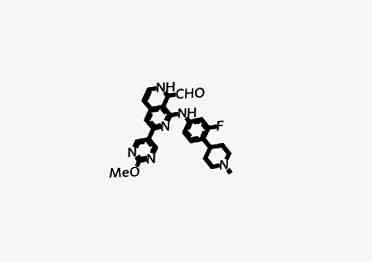 COc1ncc(-c2cc3c(c(Nc4ccc(C5CCN(C)CC5)c(F)c4)n2)C(C=O)NC=C3)cn1